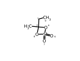 CCC1(C)OS(=O)(=O)O1